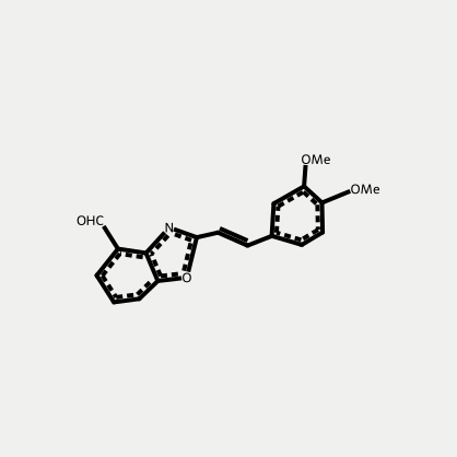 COc1ccc(/C=C/c2nc3c(C=O)cccc3o2)cc1OC